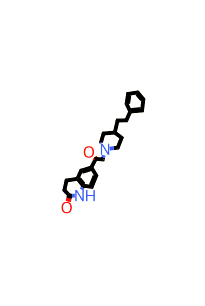 O=C1CCc2cc(C(=O)CN3CCC(CCc4ccccc4)CC3)ccc2N1